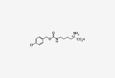 N[C@@H](CCCCNC(=O)OCc1ccc(Cl)cc1)C(=O)O